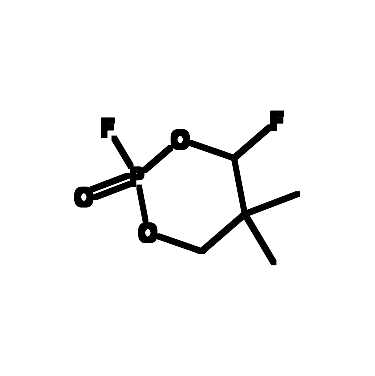 CC1(C)COP(=O)(F)OC1F